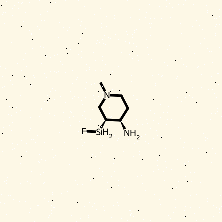 CN1CC[C@@H](N)[C@@H]([SiH2]F)C1